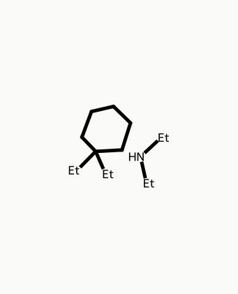 CCC1(CC)CCCCC1.CCNCC